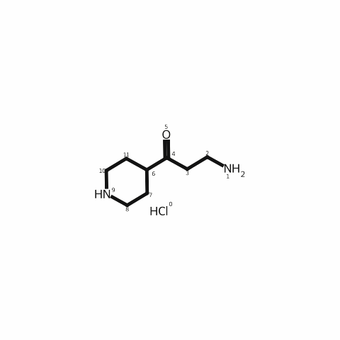 Cl.NCCC(=O)C1CCNCC1